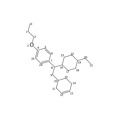 CCCOc1ccc(C(CC2CC=CCC2)C2CCC(CC)CC2)cc1